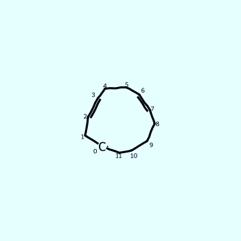 [CH]1CC=CCCC=CCCCC1